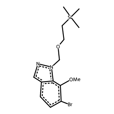 COc1c(Br)ccc2cnn(COCC[Si](C)(C)C)c12